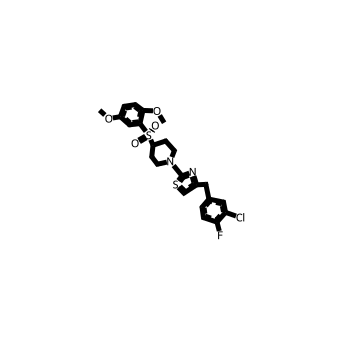 COc1ccc(OC)c(S(=O)(=O)C2CCN(c3nc(Cc4ccc(F)c(Cl)c4)cs3)CC2)c1